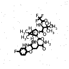 CC(C)(C)C(NC(=O)C(F)(F)F)C(=O)N1C[C@H]2[C@@H]([C@H]1C(=O)NC(CC1Oc3ccc(F)cc3NC1=O)C(N)=O)C2(C)C